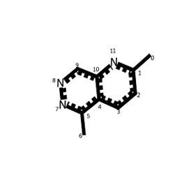 Cc1ccc2c(C)nncc2n1